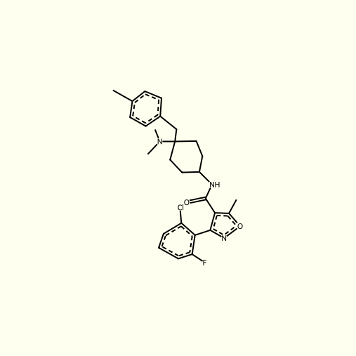 Cc1ccc(CC2(N(C)C)CCC(NC(=O)c3c(-c4c(F)cccc4Cl)noc3C)CC2)cc1